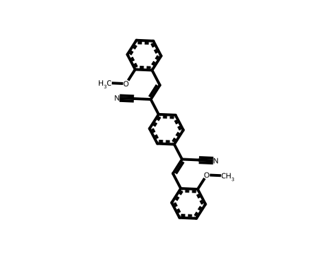 COc1ccccc1/C=C(\C#N)c1ccc(/C(C#N)=C/c2ccccc2OC)cc1